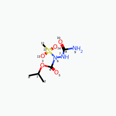 CC(C)OC(=O)N(NC(N)=O)S(C)(=O)=O